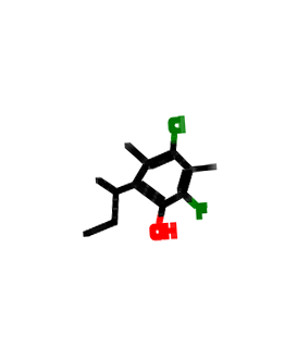 CCC(C)c1c(C)c(Cl)c(C)c(F)c1O